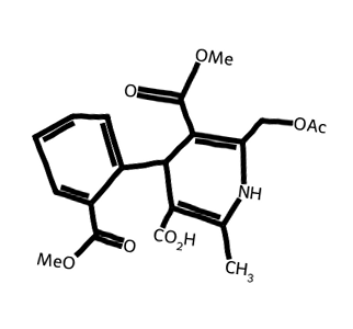 COC(=O)C1=C(COC(C)=O)NC(C)=C(C(=O)O)C1c1ccccc1C(=O)OC